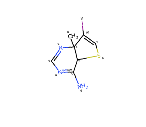 CC12N=CN=C(N)C1SC=C2I